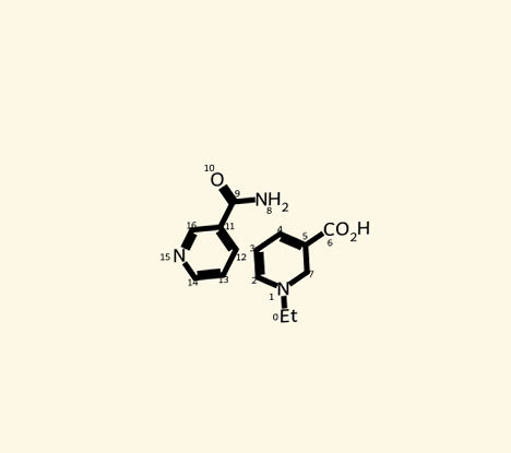 CCN1C=CC=C(C(=O)O)C1.NC(=O)c1cccnc1